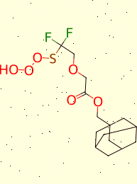 O=C(COCC(F)(F)SOOO)OCC12CC3CC(CC(C3)C1)C2